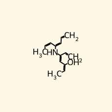 C=C/C=C(\C=C/C)N/C(C=C)=C/C(O)=C\C